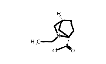 CCN1C[C@H]2CC[C@]1(C(=O)Cl)C2